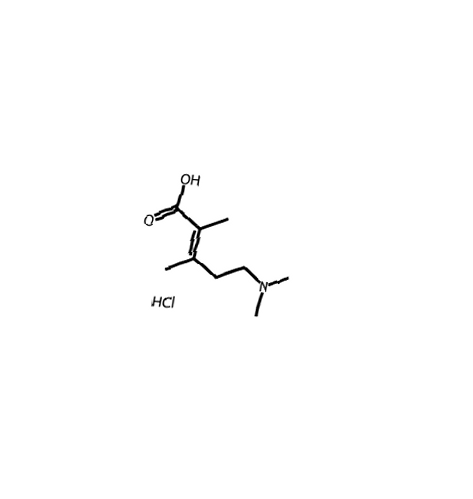 CC(CCN(C)C)=C(C)C(=O)O.Cl